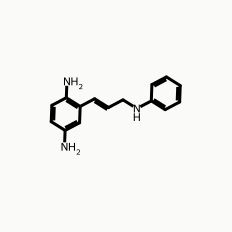 Nc1ccc(N)c(C=CCNc2ccccc2)c1